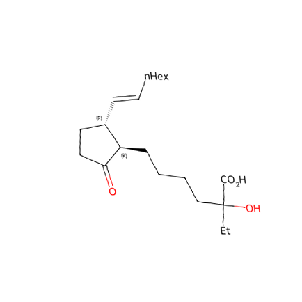 CCCCCCC=C[C@H]1CCC(=O)[C@@H]1CCCCC(O)(CC)C(=O)O